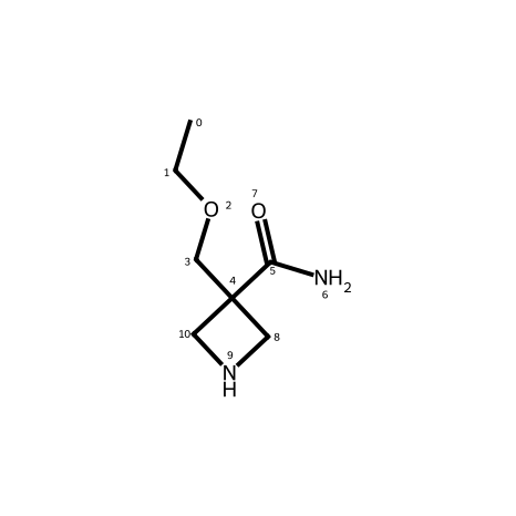 CCOCC1(C(N)=O)CNC1